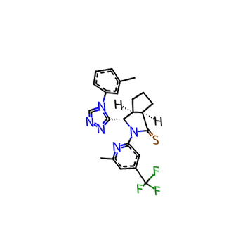 Cc1cccc(-n2cnnc2[C@@H]2[C@H]3CCC[C@H]3C(=S)N2c2cc(C(F)(F)F)cc(C)n2)c1